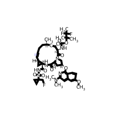 COc1ccc2c(O[C@@H]3C[C@H]4C(=O)N[C@]5(C(=O)NS(=O)(=O)C6(CF)CC6)C[C@H]5/C=C\CC[C@H](C)C[C@@H](C)[C@H](NC(=O)OC(C)(C)C(C)(F)F)C(=O)N4C3)nc(N(C)C)cc2c1